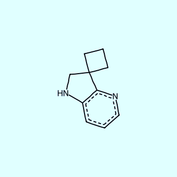 c1cnc2c(c1)NCC21CCC1